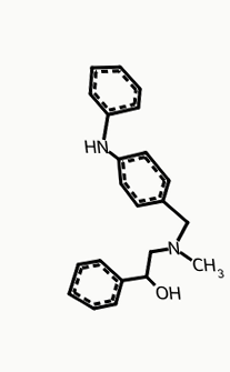 CN(Cc1ccc(Nc2ccccc2)cc1)CC(O)c1ccccc1